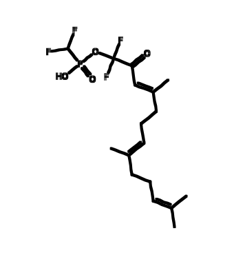 CC(C)=CCCC(C)=CCCC(C)=CC(=O)C(F)(F)OP(=O)(O)C(F)F